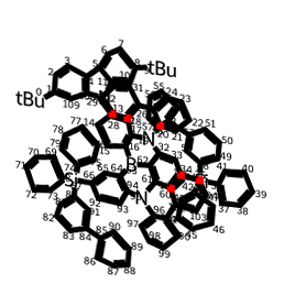 CC(C)(C)c1ccc2c3ccc(C(C)(C)C)cc3n(-c3ccc4c(c3)N(c3ccccc3-c3ccccc3)c3cc([Si](c5ccccc5)(c5ccccc5)c5cccc(-c6ccccc6)c5)cc5c3B4c3cc([Si](c4ccccc4)(c4ccccc4)c4cccc(-c6ccccc6)c4)ccc3N5c3ccccc3-c3ccccc3)c2c1